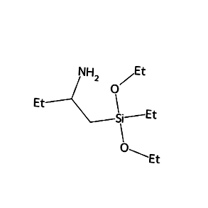 CCO[Si](CC)(CC(N)CC)OCC